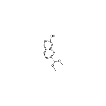 COC(OC)c1cnc2ccc(O)cc2c1